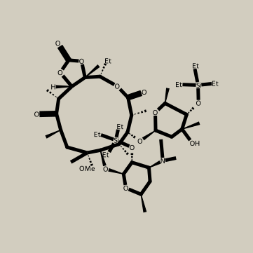 CC[C@@H]1OC(=O)[C@H](C)[C@H](O[C@@H]2C[C@@](C)(O)[C@@H](O[Si](CC)(CC)CC)[C@H](C)O2)[C@H](C)[C@@H](O[C@@H]2O[C@H](C)C[C@H](N(C)C)[C@H]2O[Si](CC)(CC)CC)[C@](C)(OC)C[C@@H](C)C(=O)[C@H](C)[C@@H]2OC(=O)O[C@]12C